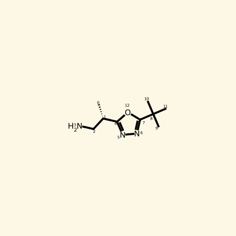 C[C@@H](CN)c1nnc(C(C)(C)C)o1